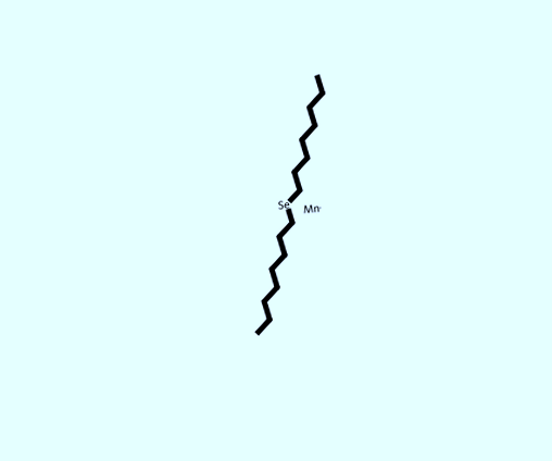 CCCCCCCC[Se]CCCCCCCC.[Mn]